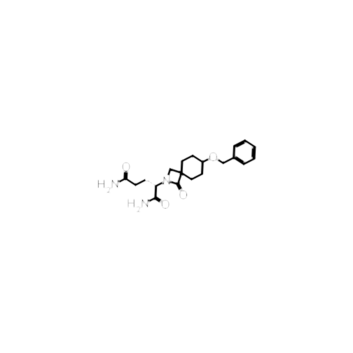 NC(=O)CC[C@@H](C(N)=O)N1CC2(CCC(OCc3ccccc3)CC2)C1=O